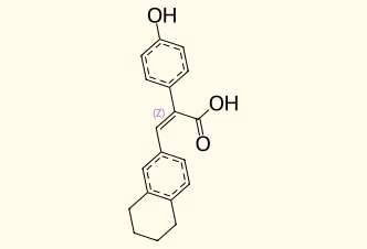 O=C(O)/C(=C\c1ccc2c(c1)CCCC2)c1ccc(O)cc1